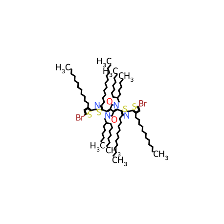 CCCCCCCCCCCCc1cc(Br)sc1-c1nc(CCCCCCCCCCCC)c(C2=C3C(=O)N(CC(CCCCCC)CCCCCCCC)C(c4sc(-c5sc(Br)cc5CCCCCCCCCCCC)nc4CCCCCCCCCCCC)=C3C(=O)N2CC(CCCCCC)CCCCCCCC)s1